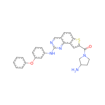 NC1CCN(C(=O)c2cc3c(ccc4cnc(Nc5cccc(Oc6ccccc6)c5)nc43)s2)C1